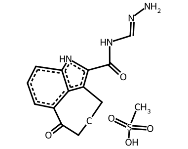 CS(=O)(=O)O.NN=CNC(=O)c1[nH]c2cccc3c2c1CCCC3=O